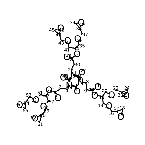 O=C(CCn1c(=O)n(CCC(=O)OC(COCC2CO2)COCC2CO2)c(=O)n(CCC(=O)OC(COCC2CO2)COCC2CO2)c1=O)OC(COCC1CO1)COCC1CO1